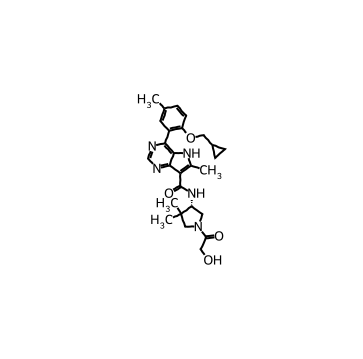 Cc1ccc(OCC2CC2)c(-c2ncnc3c(C(=O)N[C@@H]4CN(C(=O)CO)CC4(C)C)c(C)[nH]c23)c1